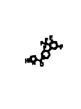 O=C(C1=NNCC1)N1CCC(c2cc(F)cc(F)c2C(F)(F)F)CC1